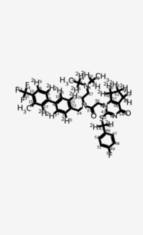 [2H]c1c([2H])c(-c2c([2H])c([2H])c(C(F)(F)F)c(C)c2[2H])c([2H])c([2H])c1CN(CCN(C([2H])([2H])C)C([2H])([2H])C)C(=O)Cn1c(SC([2H])([2H])c2ccc(F)cc2)nc(=O)c2c1C([2H])([2H])C([2H])([2H])C2([2H])[2H]